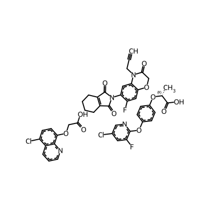 C#CCN1C(=O)COc2cc(F)c(N3C(=O)C4=C(CCCC4)C3=O)cc21.C[C@@H](Oc1ccc(Oc2ncc(Cl)cc2F)cc1)C(=O)O.O=C(O)COc1ccc(Cl)c2cccnc12